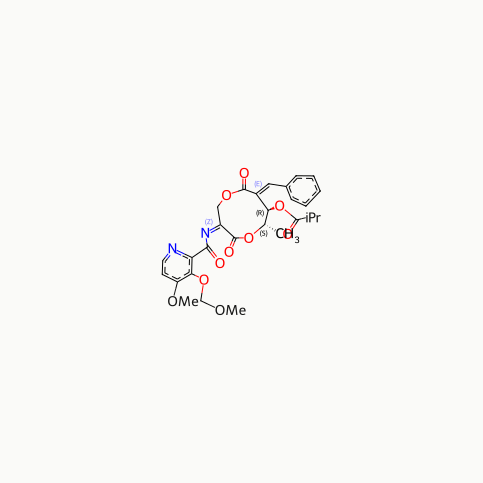 COCOc1c(OC)ccnc1C(=O)/N=C1/COC(=O)/C(=C/c2ccccc2)[C@@H](OC(=O)C(C)C)[C@H](C)OC1=O